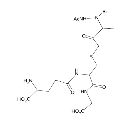 CC(=O)NN(Br)C(C)C(=O)CSCC(NC(=O)CCC(N)C(=O)O)C(=O)NCC(=O)O